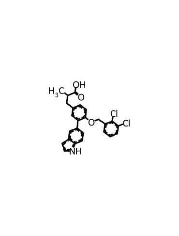 CC(Cc1ccc(OCc2cccc(Cl)c2Cl)c(-c2ccc3[nH]ccc3c2)c1)C(=O)O